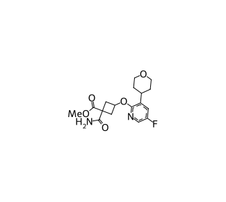 COC(=O)C1(C(N)=O)CC(Oc2ncc(F)cc2C2CCOCC2)C1